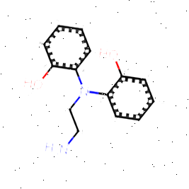 NCCN(c1ccccc1O)c1ccccc1O